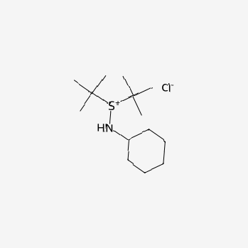 CC(C)(C)[S+](NC1CCCCC1)C(C)(C)C.[Cl-]